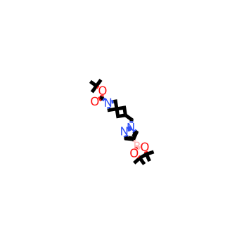 CC(C)(C)OC(=O)N1CC2(CC(Cn3cc(B4OC(C)(C)C(C)(C)O4)cn3)C2)C1